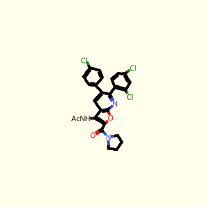 CC(=O)Nc1c(C(=O)N2CCCC2)oc2nc(-c3ccc(Cl)cc3Cl)c(-c3ccc(Cl)cc3)cc12